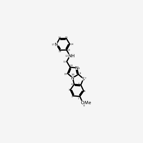 COc1ccc2c(c1)sc1nc(CNc3cccnc3)cn12